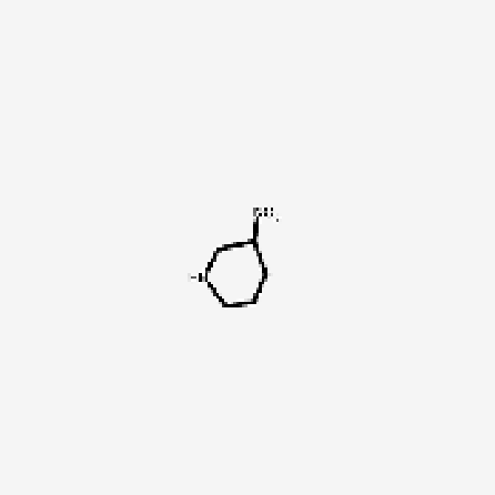 O=[N+]([O-])C1[CH]CCNC1